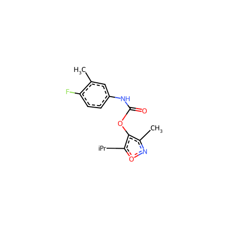 Cc1cc(NC(=O)Oc2c(C)noc2C(C)C)ccc1F